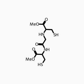 COC(=O)C(CS)NCC(=O)NC(CS)C(=O)OC